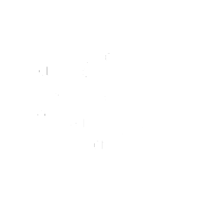 O=C(Cl)C(Cl)(Cl)c1c(Cl)cccc1Cl